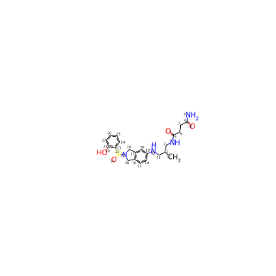 CC(CNC(=O)CCC(N)=O)CNc1ccc2c(c1)CN([S+]([O-])c1ccccc1O)C2